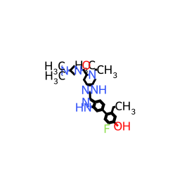 CCc1cc(O)c(F)cc1-c1ccc2c(-c3nc4c([nH]3)CN(C(C)C)C(C(=O)N3CC(N(C)C)C3)C4)n[nH]c2c1